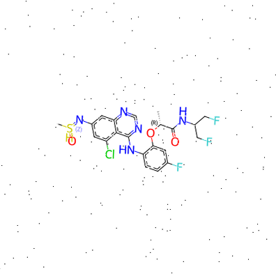 C[C@@H](Oc1cc(F)ccc1Nc1ncnc2cc(/N=[SH](/C)=O)cc(Cl)c12)C(=O)NC(CF)CF